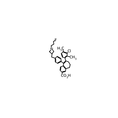 Cc1ccc(C2=C(c3ccc(CC4CN(CCCF)C4)cc3)c3ccc(C(=O)O)cc3CCC2)c(C)c1Cl